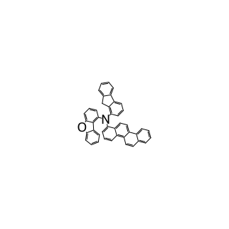 c1ccc2c(c1)Cc1c-2cccc1N(c1cccc2c1ccc1c3ccccc3ccc21)c1cccc2oc3ccccc3c12